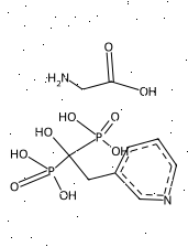 NCC(=O)O.O=P(O)(O)C(O)(Cc1cccnc1)P(=O)(O)O